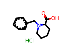 Cl.O=C(O)C1CCCCN1Cc1ccccc1